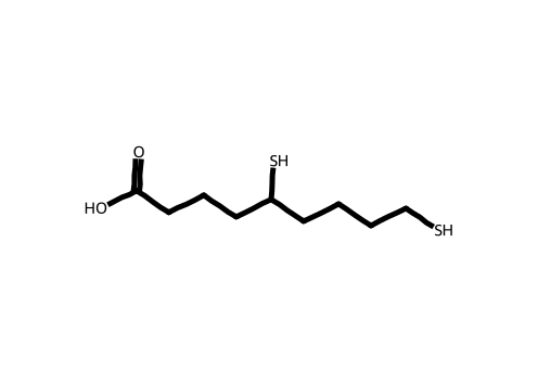 O=C(O)CCCC(S)CCCCS